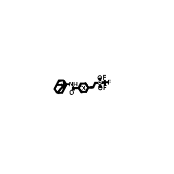 O=C(NC1C2CC3CC(C2)CC1C3)C12CCC(CCS(=O)(=O)C(F)(F)F)(CC1)CC2